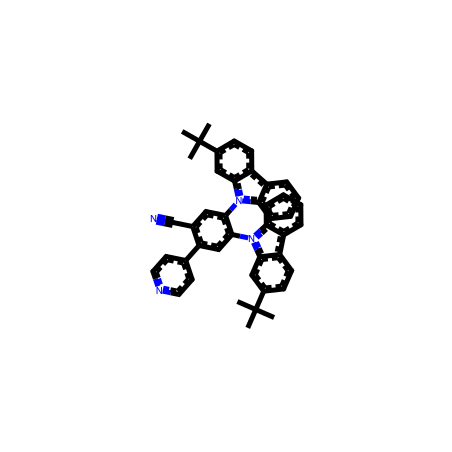 CC(C)(C)c1ccc2c3ccccc3n(-c3cc(C#N)c(-c4ccncc4)cc3-n3c4ccccc4c4ccc(C(C)(C)C)cc43)c2c1